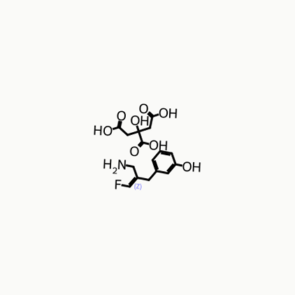 NC/C(=C\F)Cc1cccc(O)c1.O=C(O)CC(O)(CC(=O)O)C(=O)O